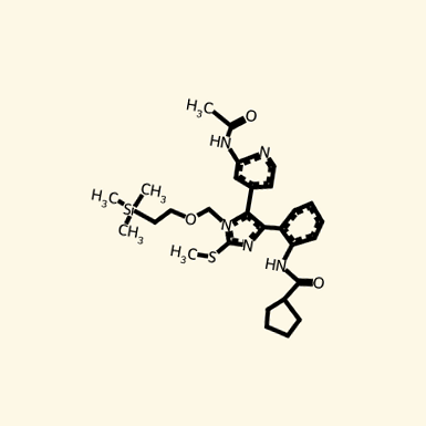 CSc1nc(-c2ccccc2NC(=O)C2CCCC2)c(-c2ccnc(NC(C)=O)c2)n1COCC[Si](C)(C)C